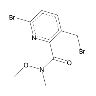 CON(C)C(=O)c1nc(Br)ccc1CBr